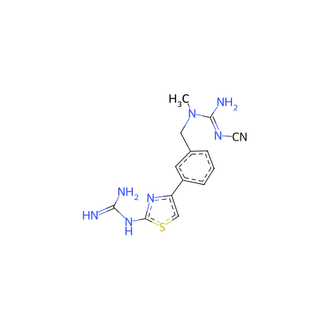 CN(Cc1cccc(-c2csc(NC(=N)N)n2)c1)C(N)=NC#N